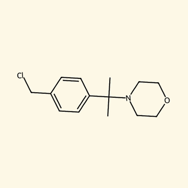 CC(C)(c1ccc(CCl)cc1)N1CCOCC1